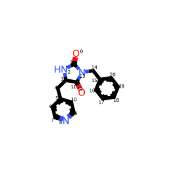 O=C1NC(Cc2ccncc2)C(=O)N1Cc1ccccc1